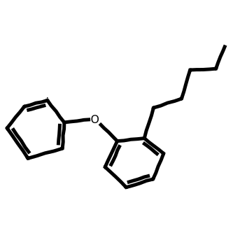 CCCCCc1ccccc1Oc1[c]cccc1